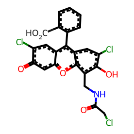 O=C(CCl)NCc1c(O)c(Cl)cc2c(-c3ccccc3C(=O)O)c3cc(Cl)c(=O)cc-3oc12